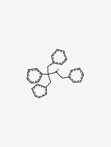 O=C(Cc1ccccc1)C(Cc1ccccc1)(Cc1ccccc1)c1ccccc1